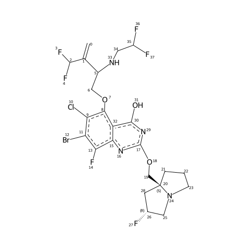 C=C(C(F)F)C(COc1c(Cl)c(Br)c(F)c2nc(OC[C@@]34CCCN3C[C@H](F)C4)nc(O)c12)NCC(F)F